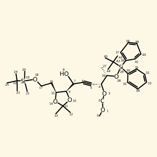 COCO[C@H](C#CC(O)[C@H]1OC(C)(C)O[C@H]1CCO[Si](C)(C)C(C)(C)C)[C@H](C)O[Si](c1ccccc1)(c1ccccc1)C(C)(C)C